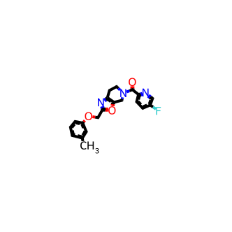 Cc1cccc(OCc2nc3c(o2)CN(C(=O)c2ccc(F)cn2)CC3)c1